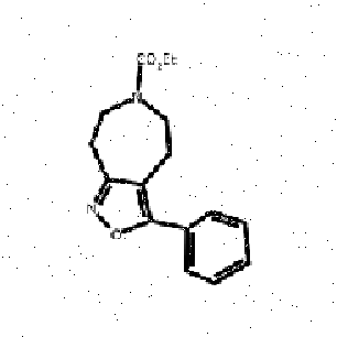 CCOC(=O)N1CCc2noc(-c3ccccc3)c2CC1